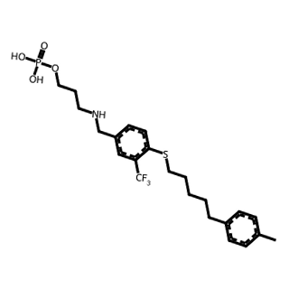 Cc1ccc(CCCCCSc2ccc(CNCCCOP(=O)(O)O)cc2C(F)(F)F)cc1